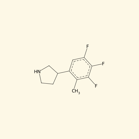 Cc1c(C2CCNC2)cc(F)c(F)c1F